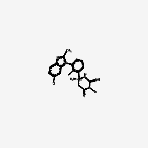 CCN1C(=N)N[C@](C)(c2cccc(-n3c(C)nc4ccc(Cl)cc43)c2F)CC1=O